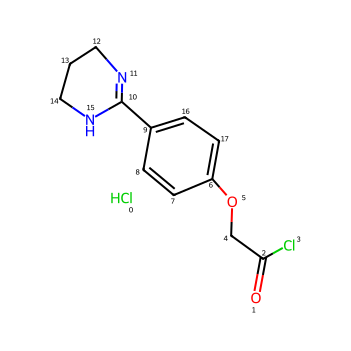 Cl.O=C(Cl)COc1ccc(C2=NCCCN2)cc1